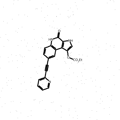 CCOC(=O)Oc1c[nH]c2c(=O)[nH]c3ccc(C#Cc4ccccn4)cc3c12